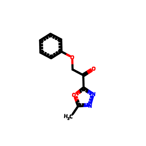 Cc1nnc(C(=O)COc2ccccc2)o1